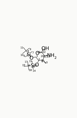 C[C@@H](C(CO[Si](C)(C)C(C)(C)C)O[Si](C)(C)C(C)(C)C)[C@H](N)C(=O)O